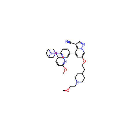 COCCN1CCC(CCOc2cc(-c3ccc(N4CC5CC(C4)N5Cc4ccc(OC)nc4)nc3)c3c(C#N)cnn3c2)CC1